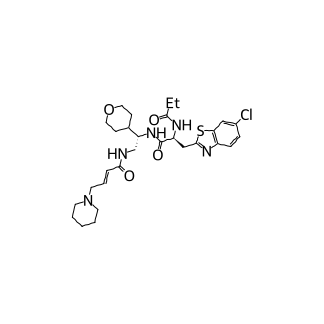 CCC(=O)N[C@@H](Cc1nc2ccc(Cl)cc2s1)C(=O)N[C@H](CNC(=O)/C=C/CN1CCCCC1)C1CCOCC1